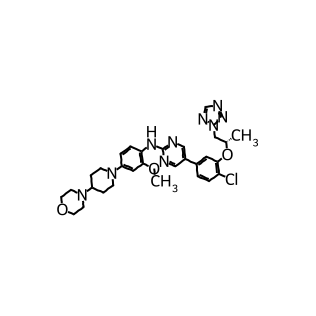 COc1cc(N2CCC(N3CCOCC3)CC2)ccc1Nc1ncc(-c2ccc(Cl)c(O[C@@H](C)Cn3ncnn3)c2)cn1